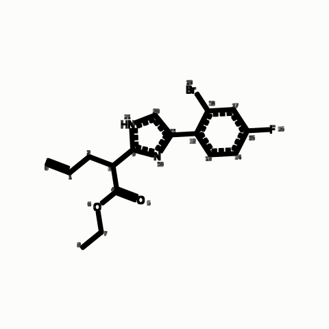 C=CCC(C(=O)OCC)c1nc(-c2ccc(F)cc2Br)c[nH]1